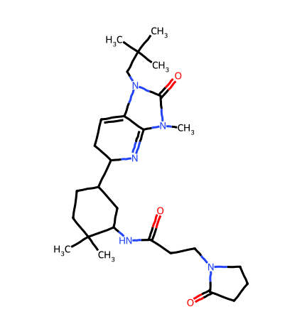 Cn1c2c(n(CC(C)(C)C)c1=O)=CCC(C1CCC(C)(C)C(NC(=O)CCN3CCCC3=O)C1)N=2